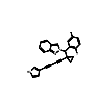 Fc1ccc(F)c(C(n2cc3ccccc3n2)C2(C#CC#Cc3cc[nH]c3)CC2)c1